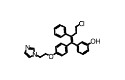 Oc1cccc(/C(=C(\CCCl)c2ccccc2)c2ccc(OCCn3ccnc3)cc2)c1